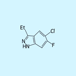 CCc1n[nH]c2cc(F)c(Cl)cc12